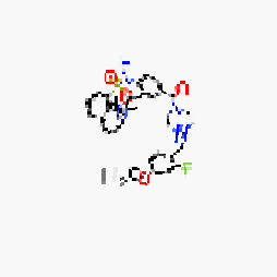 COc1ccc(CN2CCN(C(=O)c3ccc(NS(=O)(=O)c4cccc5cccnc45)c(C)c3)CC2)c(F)c1